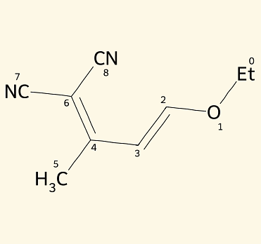 CCOC=CC(C)=C(C#N)C#N